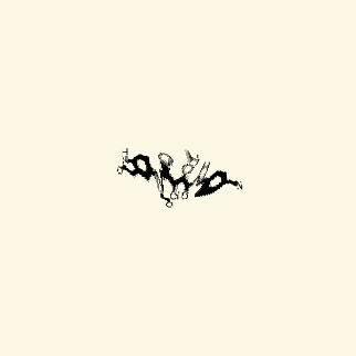 N#Cc1ccc(NC(=O)[C@H](O)[C@@H](O)C(=O)N(CCCl)c2ccc3c(c2)CC(=O)N3)cc1